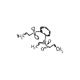 C=CCS(=O)(=O)c1ccccc1N(C=C)S(=O)(=O)CC=C